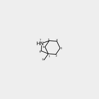 CC12CCCC(C1)NC2